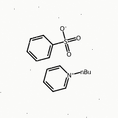 CCCC[n+]1ccccc1.O=S(=O)([O-])c1ccccc1